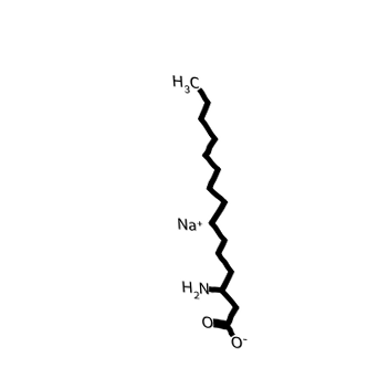 CCCCCCCCCCCCC(N)CC(=O)[O-].[Na+]